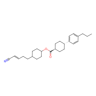 CCCc1ccc([C@H]2CC[C@H](C(=O)OC3CCC(CC/C=C/C#N)CC3)CC2)cc1